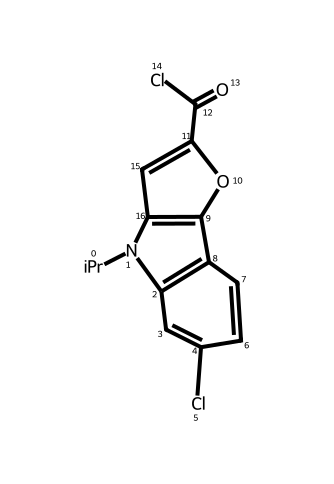 CC(C)n1c2cc(Cl)ccc2c2oc(C(=O)Cl)cc21